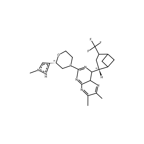 CC1=NC2=NC(N3CCO[C@@H](c4cn(C)[nH]4)C3)=NC([C@@H]3CC(C(F)(F)F)C4CC3C4)C2N=C1C